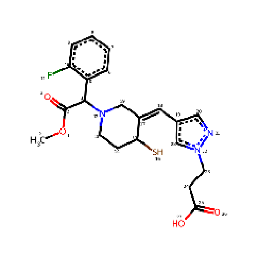 COC(=O)C(c1ccccc1F)N1CCC(S)/C(=C\c2cnn(CCC(=O)O)c2)C1